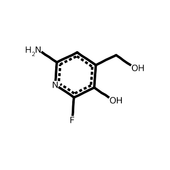 Nc1cc(CO)c(O)c(F)n1